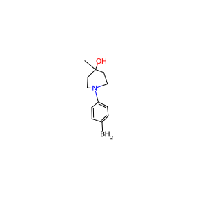 Bc1ccc(N2CCC(C)(O)CC2)cc1